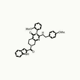 COc1ccc(CNc2nc3c(c(=O)n2-c2ccccc2OC)CCN(C(=O)c2cc4ccccc4[nH]2)C3)cc1